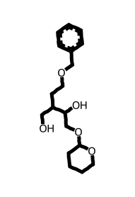 OCC(CCOCc1ccccc1)C(O)COC1CCCCO1